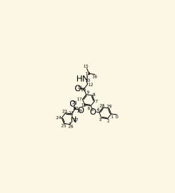 Cc1ccc(Oc2ccc(C(=O)CNC(C)C)cc2OC(=O)c2ccccn2)cc1